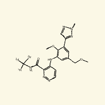 [2H]C([2H])([2H])NC(=O)c1nnccc1Nc1cc(COC)cc(-c2cnn(C)n2)c1OC